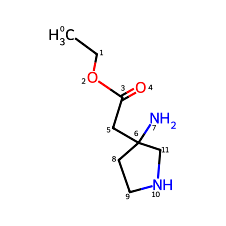 CCOC(=O)CC1(N)CCNC1